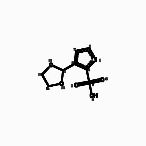 O=S(=O)(O)c1sccc1C1OCCO1